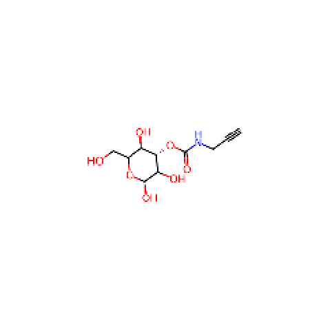 C#CCNC(=O)O[C@@H]1C(O)[C@@H](O)OC(CO)[C@H]1O